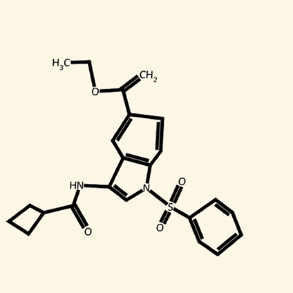 C=C(OCC)c1ccc2c(c1)c(NC(=O)C1CCC1)cn2S(=O)(=O)c1ccccc1